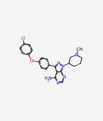 N#CN1CCCC(n2nc(-c3ccc(Oc4ccc(Cl)cc4)cc3)c3c(N)ncnc32)C1